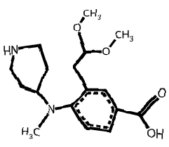 COC(Cc1cc(C(=O)O)ccc1N(C)C1CCNCC1)OC